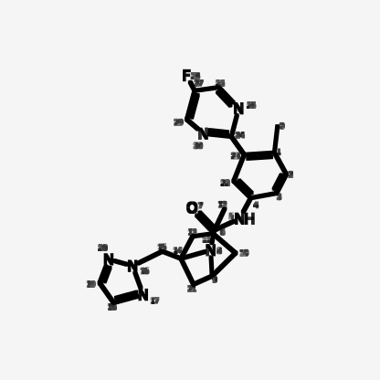 Cc1ccc(NC(=O)N2C3CC(C)CC2(Cn2nccn2)C3)cc1-c1ncc(F)cn1